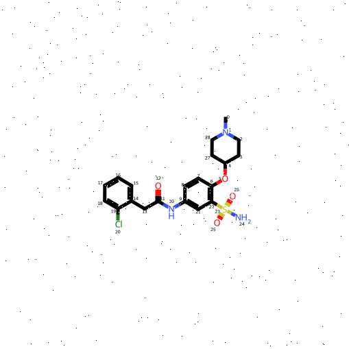 CN1CCC(Oc2ccc(NC(=O)Cc3ccccc3Cl)cc2S(N)(=O)=O)CC1